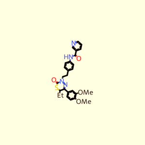 CCC1SC(=O)N(CCc2ccc(NC(=O)c3cccnc3)cc2)N=C1c1ccc(OC)c(OC)c1